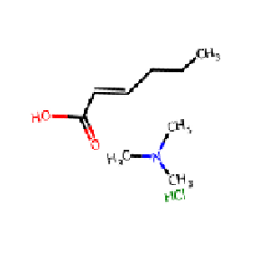 CCCC=CC(=O)O.CN(C)C.Cl